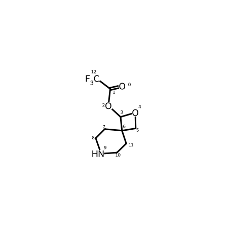 O=C(OC1OCC12CCNCC2)C(F)(F)F